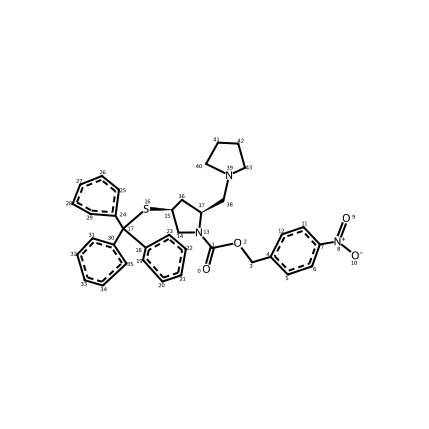 O=C(OCc1ccc([N+](=O)[O-])cc1)N1C[C@@H](SC(c2ccccc2)(c2ccccc2)c2ccccc2)C[C@H]1CN1CCCC1